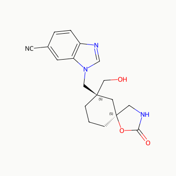 N#Cc1ccc2ncn(C[C@]3(CO)CCC[C@@]4(CNC(=O)O4)C3)c2c1